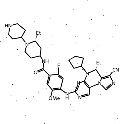 CC[C@@H]1CC(NC(=O)c2cc(OC)c(Nc3ncc4c(n3)N(C3CCCC3)[C@H](CC)c3c(C#N)ncn3-4)cc2F)CCN1C1CCNCC1